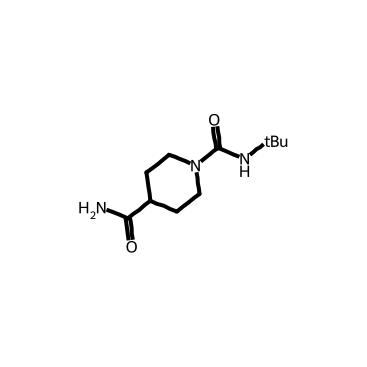 CC(C)(C)NC(=O)N1CCC(C(N)=O)CC1